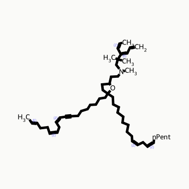 C=C/C=C(\C=C/C)C(C)(C)CN(C)CCC1CCC(CCCCCCCC#C/C=C\C/C=C\CC/C=C/C)(CCCCCCCCC/C=C\C/C=C\CCCCC)O1